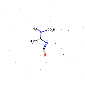 C[C@@H](N=C=O)N(C)C(=O)O